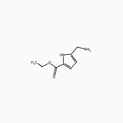 CCOC(=O)c1ccc(CN)[nH]1